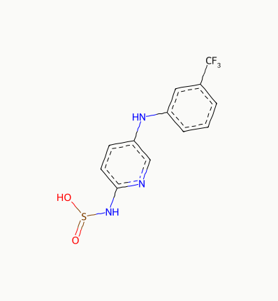 O=S(O)Nc1ccc(Nc2cccc(C(F)(F)F)c2)cn1